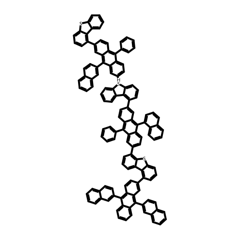 c1ccc(-c2c3ccc(-c4cccc5sc6ccccc6c45)cc3c(-c3ccc4ccccc4c3)c3cc([SH]4c5ccccc5-c5c(-c6ccc7c(-c8ccccc8)c8cc(-c9cccc%10c9sc9cccc(-c%11ccc%12c(-c%13ccc%14ccccc%14c%13)c%13ccccc%13c(-c%13ccc%14ccccc%14c%13)c%12c%11)c9%10)ccc8c(-c8cccc9ccccc89)c7c6)cccc54)ccc23)cc1